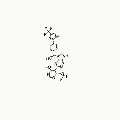 COc1ncnc(C2CC2(F)F)c1-c1ncc2[nH]cc(C(O)c3ccc(-c4nc(C(F)(F)F)cn4C)cc3)c2n1